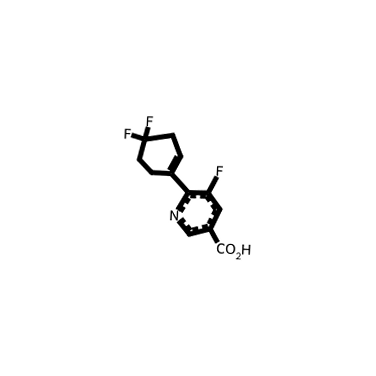 O=C(O)c1cnc(C2=CCC(F)(F)CC2)c(F)c1